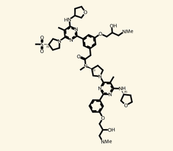 CNCC(O)COc1cc(CC(=O)N(C)[C@H]2CCN(c3nc(-c4cccc(OCC(O)CNC)c4)nc(N[C@@H]4CCOC4)c3C)C2)cc(-c2nc(NC3CCOC3)c(C)c(N3CC[C@H](S(C)(=O)=O)C3)n2)c1